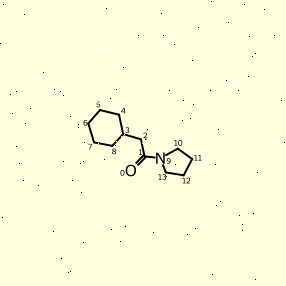 O=C([CH]C1CCCCC1)N1CCCC1